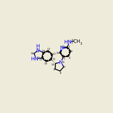 CNc1ccc(N2CCC[C@@H]2c2ccc3c(c2)NCN3)cn1